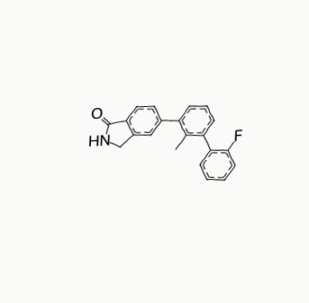 Cc1c(-c2ccc3c(c2)CNC3=O)cccc1-c1ccccc1F